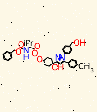 Cc1ccc(-c2cc(C3(O)CCC(OCOC(=O)[C@@H](NC(=O)OCc4ccccc4)C(C)C)CC3)nn2-c2ccc(CO)cc2)cc1